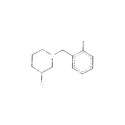 NC1CCCN(Cc2ccccc2Cl)C1